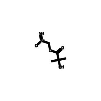 CC(C)(O)C(=O)OC[N+](=N)[O-]